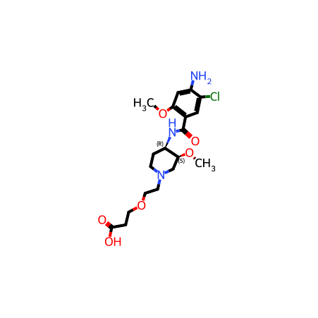 COc1cc(N)c(Cl)cc1C(=O)N[C@@H]1CCN(CCOCCC(=O)O)C[C@@H]1OC